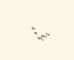 [Cu].[Mn].[Ni].[SiH4].[Zn]